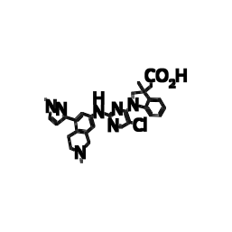 CN1CCc2c(cc(Nc3ncc(Cl)c(N4CC(C)(CC(=O)O)c5ccccc54)n3)cc2-c2ccn(C)n2)C1